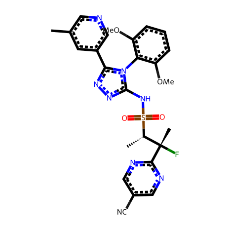 COc1cccc(OC)c1-n1c(NS(=O)(=O)[C@@H](C)[C@](C)(F)c2ncc(C#N)cn2)nnc1-c1cncc(C)c1